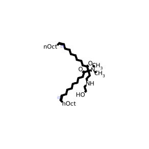 CCCCCCCC/C=C\CCCCCCCC(=O)C(CCNCCO)(C(=O)CCCCCCC/C=C\CCCCCCCC)N(C)C